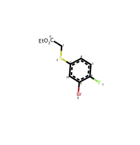 CCOC(=O)CSc1ccc(F)c(Br)c1